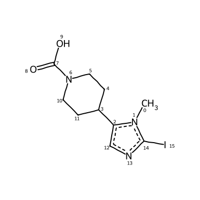 Cn1c(C2CCN(C(=O)O)CC2)cnc1I